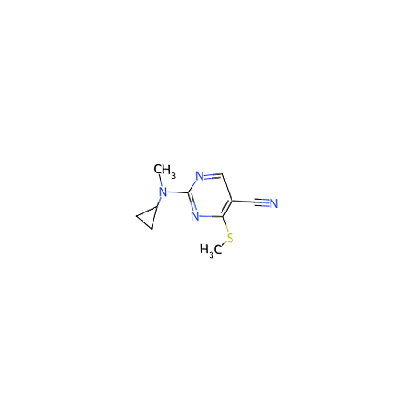 CSc1nc(N(C)C2CC2)ncc1C#N